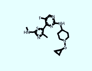 CNc1nc(C)c(-c2nc(NC3CCN(SC4CC4)CC3)ncc2F)s1